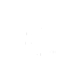 CC1=C(O)C(O)C(C)(O)C=C1